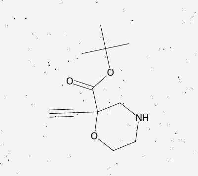 C#CC1(C(=O)OC(C)(C)C)CNCCO1